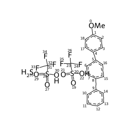 COc1ccc(-c2ccc(-c3ccccc3)cc2)cc1.O=S(=O)(O)C(F)(F)F.O=S(=O)(O)C(F)(F)F.S